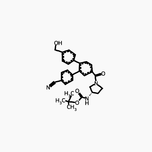 CC(C)(C)OC(=O)N[C@H]1CCN(C(=O)c2ccc(-c3ccc(CO)cc3)c(-c3ccc(C#N)cc3)c2)C1